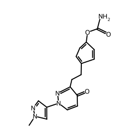 Cn1cc(-n2ccc(=O)c(CCc3ccc(OC(N)=O)cc3)n2)cn1